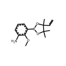 C=CC1(C)OB(c2cccc(N)c2OC)OC1(C)C